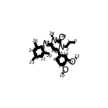 CCCn1c(-c2ccc(OC)c(OC)c2)cc(=Nc2c(C)cc(C)cc2C)n(C)c1=O